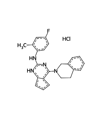 Cc1cc(F)ccc1Nc1nc(N2CCc3ccccc3C2)c2cccc-2[nH]1.Cl